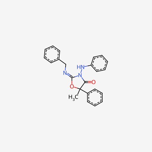 CC1(c2ccccc2)OC(=NCc2ccccc2)N(Nc2ccccc2)C1=O